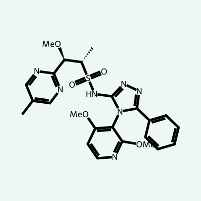 COc1ccnc(OC)c1-n1c(NS(=O)(=O)[C@@H](C)[C@H](OC)c2ncc(C)cn2)nnc1-c1ccccc1